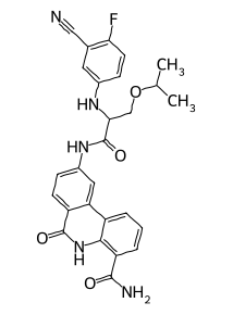 CC(C)OCC(Nc1ccc(F)c(C#N)c1)C(=O)Nc1ccc2c(=O)[nH]c3c(C(N)=O)cccc3c2c1